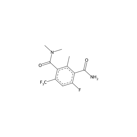 Cc1c(C(N)=O)c(F)cc(C(F)(F)F)c1C(=O)N(C)C